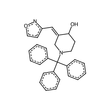 OC1CCN(C(c2ccccc2)(c2ccccc2)c2ccccc2)C/C1=C\c1ccon1